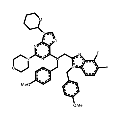 COc1ccc(CN(Cc2nc3c(F)c(F)ccc3n2Cc2ccc(OC)cc2)c2nc(N3CCOCC3)nc3c2ncn3C2CCCCO2)cc1